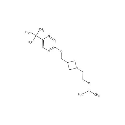 CC(C)OCCN1CC(COc2cnc(C(C)(C)C)cn2)C1